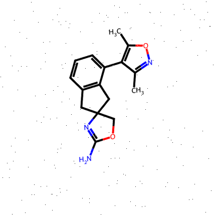 Cc1noc(C)c1-c1cccc2c1CC1(COC(N)=N1)C2